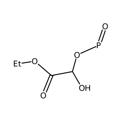 CCOC(=O)C(O)OP=O